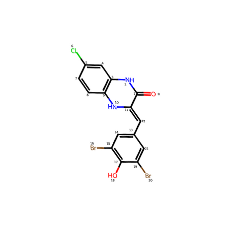 O=C1Nc2cc(Cl)ccc2NC1=Cc1cc(Br)c(O)c(Br)c1